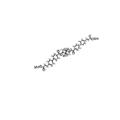 COC(=O)/C=C/c1ccc(-c2ccc(C(=O)O[C@H]3CO[C@H]4[C@@H]3OC[C@H]4OC(=O)c3ccc(-c4ccc(/C=C/C(=O)OC)cc4)cc3)cc2)cc1